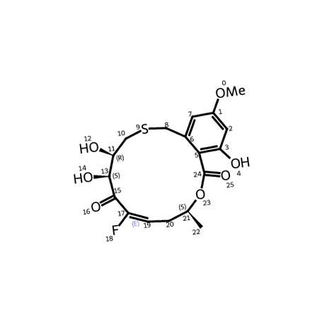 COc1cc(O)c2c(c1)CSC[C@H](O)[C@H](O)C(=O)/C(F)=C\C[C@H](C)OC2=O